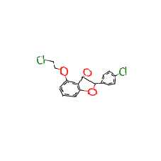 O=C1c2c(OCCCl)cccc2OC1c1ccc(Cl)cc1